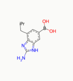 CC(C)Cc1cc(B(O)O)cc2[nH]c(N)nc12